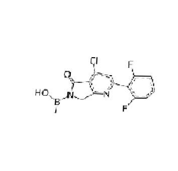 CB(O)N1Cc2nc(-c3c(F)cccc3F)cc(Cl)c2C1=O